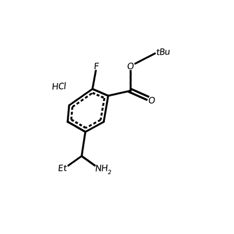 CCC(N)c1ccc(F)c(C(=O)OC(C)(C)C)c1.Cl